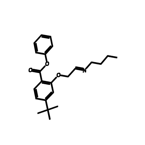 CCCCN=CCOc1cc(C(C)(C)C)ccc1C(=O)Oc1ccccc1